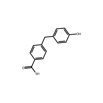 O=C(S)c1ccc(Cc2ccc(O)cc2)cc1